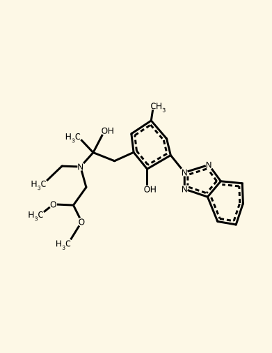 CCN(CC(OC)OC)C(C)(O)Cc1cc(C)cc(-n2nc3ccccc3n2)c1O